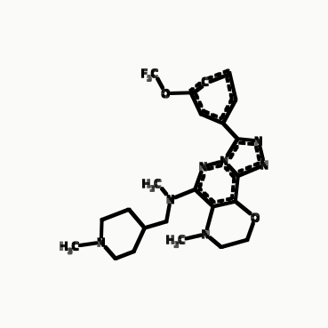 CN1CCC(CN(C)c2nn3c(-c4cccc(OC(F)(F)F)c4)nnc3c3c2N(C)CCO3)CC1